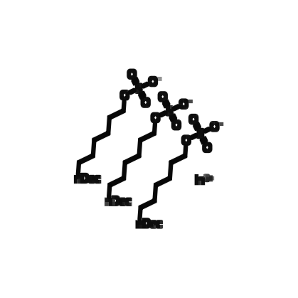 CCCCCCCCCCCCCCCCOS(=O)(=O)[O-].CCCCCCCCCCCCCCCCOS(=O)(=O)[O-].CCCCCCCCCCCCCCCCOS(=O)(=O)[O-].[In+3]